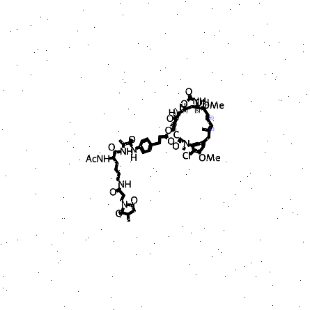 COc1cc2cc(c1Cl)N(C)C(=O)C[C@H](OC(=O)CCc1ccc(NC(=O)C(C)NC(=O)C(CCCCNC(=O)CCN3C(=O)CC(C)C3=O)NC(C)=O)cc1)[C@]1(C)O[C@H]1[C@H](C)[C@@H]1C[C@@](O)(NC(=O)O1)[C@H](OC)/C=C/C=C(\C)C2